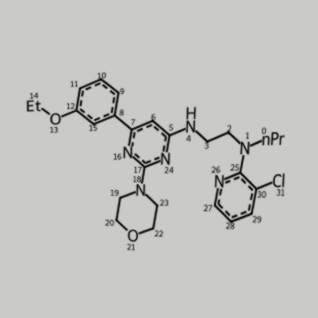 CCCN(CCNc1cc(-c2cccc(OCC)c2)nc(N2CCOCC2)n1)c1ncccc1Cl